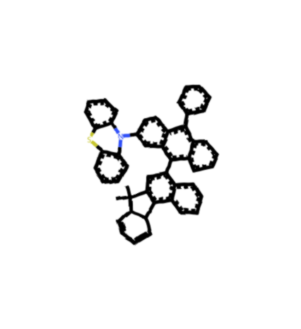 CC1(C)c2cc(-c3c4ccccc4c(-c4ccccc4)c4ccc(N5c6ccccc6Sc6ccccc65)cc34)c3ccccc3c2C2C=CC=CC21